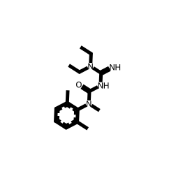 CCN(CC)C(=N)NC(=O)N(C)c1c(C)cccc1C